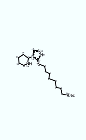 CCCCCCCCCCCCCCCCCCSc1nncn1C1CCCCN1